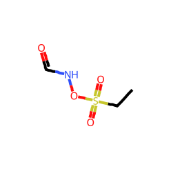 CCS(=O)(=O)ONC=O